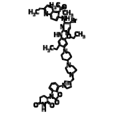 CCOc1cc(N2CCC(N3CCN(C[C@H]4CCN(c5cccc6c5oc(=O)n6C5CCC(=O)NC5=O)C4)CC3)CC2)c(CC)cc1Nc1ncc(Br)c(Nc2ccc3nc(CC)ccc3c2P(C)(C)=O)n1